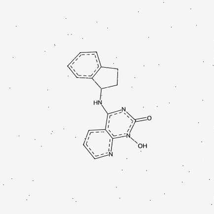 O=c1nc(NC2CCc3ccccc32)c2cccnc2n1O